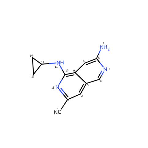 N#Cc1cc2cnc(N)cc2c(NC2CC2)n1